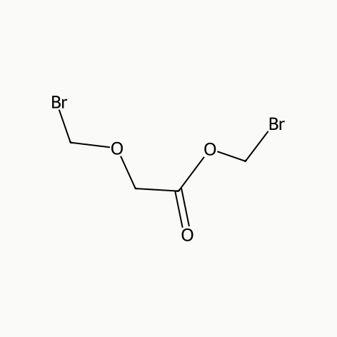 O=C(COCBr)OCBr